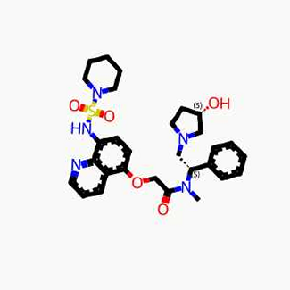 CN(C(=O)COc1ccc(NS(=O)(=O)N2CCCCC2)c2ncccc12)[C@H](CN1CC[C@H](O)C1)c1ccccc1